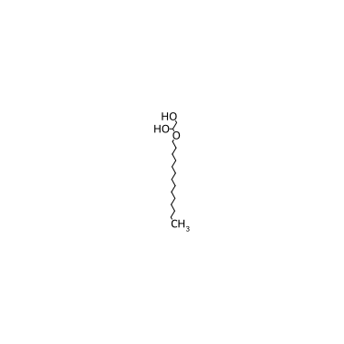 CCCCCCCCCCCCCCOC(O)CO